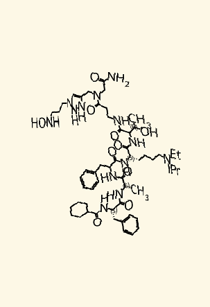 CCN(CCCC[C@H](NC(=O)C(Cc1ccccc1)NC(=O)[C@H](C)NC(=O)[C@H](Cc1ccccc1)NC(=O)C1CCCCC1)C(=O)NC(C(=O)NCCC(=O)N(CC(N)=O)CC1=CN(CCCNO)NN1)[C@@H](C)O)C(C)C